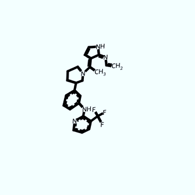 C=C/N=C1/NC=C/C1=C(/C)N1CCCC(c2cccc(Nc3ncccc3C(F)(F)F)c2)C1